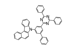 c1ccc(-c2cc(-c3nc(-c4ccccc4)nc(-c4ccccc4)n3)cc(-n3c4ccccc4c4c5ccccc5ccc43)c2)cc1